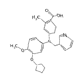 COc1ccc(N(Cc2cccnc2)c2ccc(C(=O)O)c(C)c2)cc1OC1CCCC1